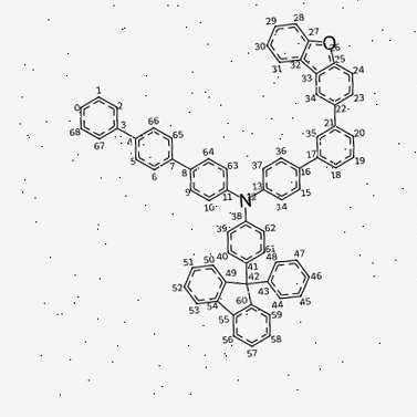 c1ccc(-c2ccc(-c3ccc(N(c4ccc(-c5cccc(-c6ccc7oc8ccccc8c7c6)c5)cc4)c4ccc(C5(c6ccccc6)c6ccccc6-c6ccccc65)cc4)cc3)cc2)cc1